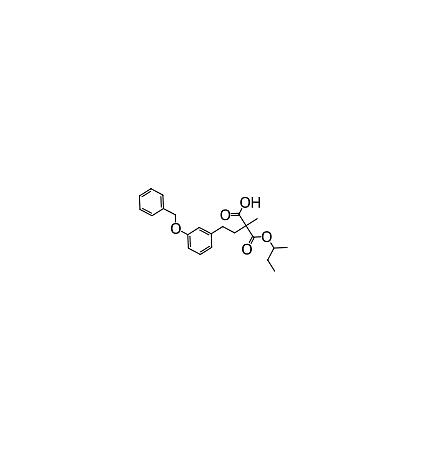 CCC(C)OC(=O)C(C)(CCc1cccc(OCc2ccccc2)c1)C(=O)O